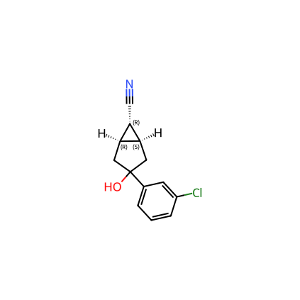 N#C[C@@H]1[C@H]2CC(O)(c3cccc(Cl)c3)C[C@@H]12